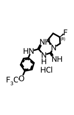 Cl.N=C(NC(=N)N1CC[C@@H](F)C1)Nc1ccc(OC(F)(F)F)cc1